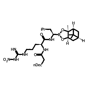 CCCCCCCCCCCC(=O)N[C@@H](CCCNC(=N)N[N+](=O)[O-])C(=O)N[C@@H](CC(C)C)B1O[C@@H]2C[C@@H]3C[C@@H](C3(C)C)[C@]2(C)O1